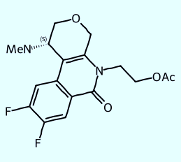 CN[C@@H]1COCc2c1c1cc(F)c(F)cc1c(=O)n2CCOC(C)=O